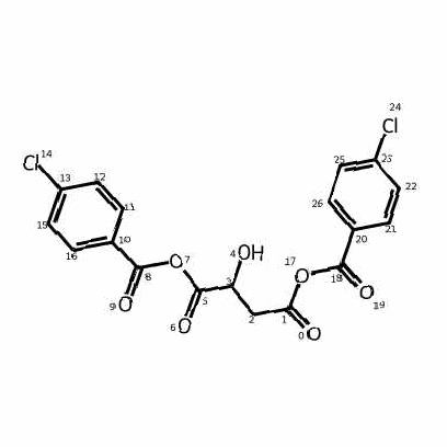 O=C(CC(O)C(=O)OC(=O)c1ccc(Cl)cc1)OC(=O)c1ccc(Cl)cc1